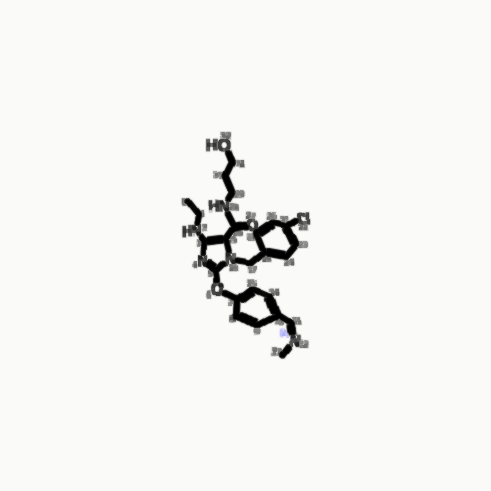 CCNc1nc(Oc2ccc(/C=N\C)cc2)n(Cc2ccc(Cl)cc2)c1C(=O)NCCCO